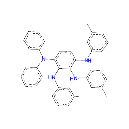 Cc1cccc(Nc2ccc(N(c3ccccc3)c3ccccc3)c(Nc3cccc(C)c3)c2Nc2cccc(C)c2)c1